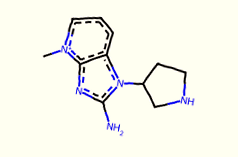 C[n+]1cccc2c1nc(N)n2C1CCNC1